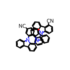 N#Cc1ccc(-c2ccccc2-n2c3ccccc3c3c(C#N)cccc32)c(-n2c3ccccc3c3cccc(-n4c5ccccc5c5ccccc54)c32)c1